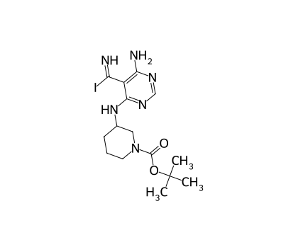 CC(C)(C)OC(=O)N1CCCC(Nc2ncnc(N)c2C(=N)I)C1